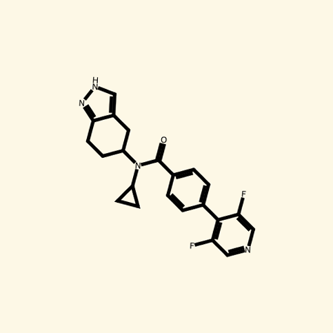 O=C(c1ccc(-c2c(F)cncc2F)cc1)N(C1CC1)C1CCc2n[nH]cc2C1